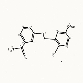 COc1ccc(Br)c(COc2cccc(C(N)=O)c2)c1